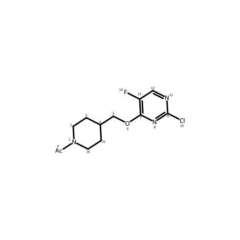 CC(=O)N1CCC(COc2nc(Cl)ncc2F)CC1